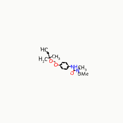 C#CC(C)(C)OCOc1ccc(NC(=O)N(C)OC)cc1